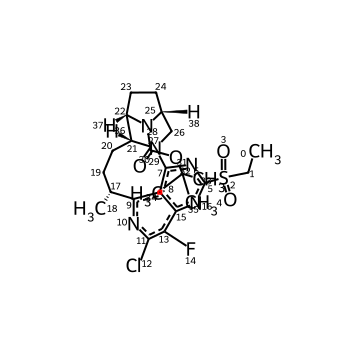 CCS(=O)(=O)c1nc2c3c(nc(Cl)c(F)c3n1)[C@H](C)CC[C@@H]1[C@@H]3CC[C@H](CN21)N3C(=O)OC(C)(C)C